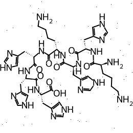 NCCCC[C@H](NC(=O)[C@H](Cc1c[nH]cn1)NC(=O)[C@H](Cc1c[nH]cn1)NC(=O)[C@@H](N)CCCCN)C(=O)N[C@@H](Cc1c[nH]cn1)C(=O)N[C@@H](Cc1c[nH]cn1)C(=O)N[C@@H](Cc1c[nH]cn1)C(=O)O